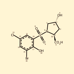 O=C(O)[C@@H]1C[C@@H](O)CN1S(=O)(=O)c1cc(Cl)cc(Br)c1O